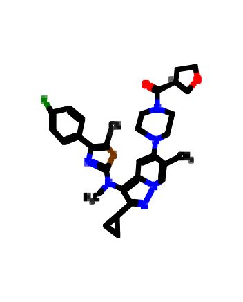 Cc1cn2nc(C3CC3)c(N(C)c3nc(-c4ccc(F)cc4)c(C#N)s3)c2cc1N1CCN(C(=O)[C@H]2CCOC2)CC1